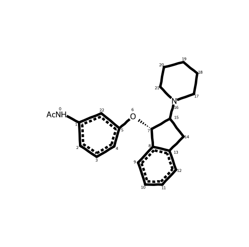 CC(=O)Nc1cccc(O[C@H]2c3ccccc3CC2N2CCCCC2)c1